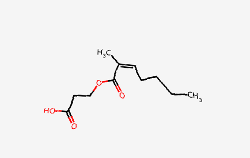 CCCCC=C(C)C(=O)OCCC(=O)O